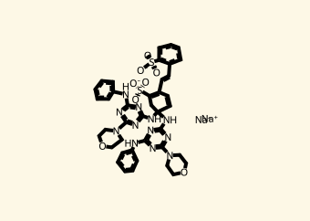 O=S(=O)([O-])C1=C(C=Cc2ccccc2S(=O)(=O)[O-])C=CC(Nc2nc(Nc3ccccc3)nc(N3CCOCC3)n2)(Nc2nc(Nc3ccccc3)nc(N3CCOCC3)n2)C1.[Na+].[Na+]